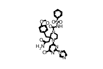 NC(=O)CC1(Cc2ccc3c(c2)OCO3)CN(C(=O)NS(=O)(=O)c2ccccc2)CCN1c1cc(Cl)nc(-n2ccnc2)n1